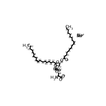 CCCCCCCC/C=C\CCCCCCCC(=O)OC[C@H](COP(=O)([O-])OC[C@H](N)C(=O)[O-])OC(=O)CCCCCCC/C=C\CCCCCCCC.[Na+].[Na+]